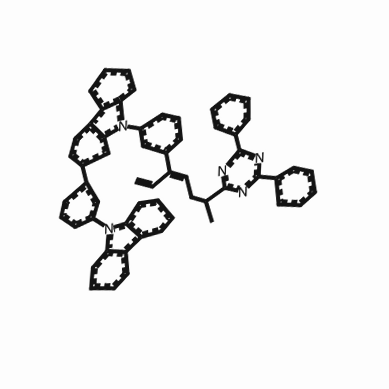 C=C/C(=C\CC(C)c1nc(-c2ccccc2)nc(-c2ccccc2)n1)c1cccc(-n2c3ccccc3c3ccc(-c4cccc(-n5c6ccccc6c6ccccc65)c4)cc32)c1